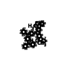 CC1(C)c2ccccc2-c2cc3c4cc5c(cc4n(-c4ccc6c(c4)c4cc(N(c7ccccc7)c7ccccc7)ccc4n6-c4ccccc4)c3cc21)C(C)(C)c1ccccc1-5